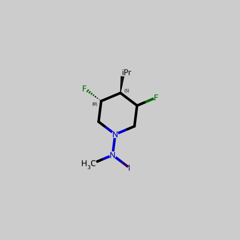 CC(C)[C@H]1C(F)CN(N(C)I)C[C@@H]1F